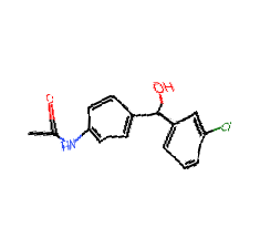 CC(=O)Nc1ccc(C(O)c2cccc(Cl)c2)cc1